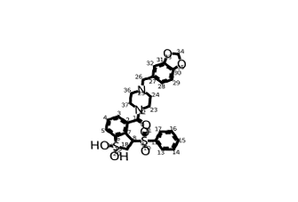 O=C(c1cccc2c1C(S(=O)(=O)c1ccccc1)CS2(O)O)N1CCN(Cc2ccc3c(c2)OCO3)CC1